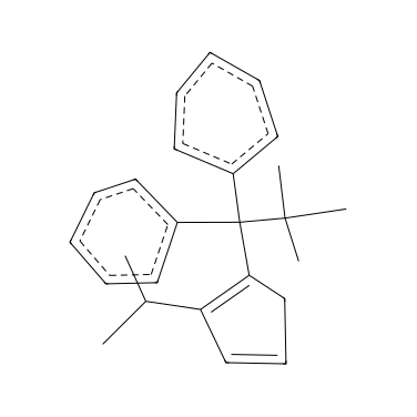 CC(C)C1=C(C(c2ccccc2)(c2ccccc2)C(C)(C)C)CC=C1